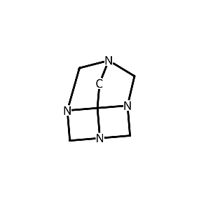 C1N2CN3CN4CN1C34C2